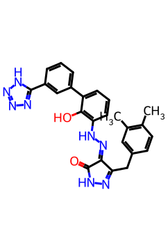 Cc1ccc(CC2=NNC(=O)C2=NNc2cccc(-c3cccc(-c4nnn[nH]4)c3)c2O)cc1C